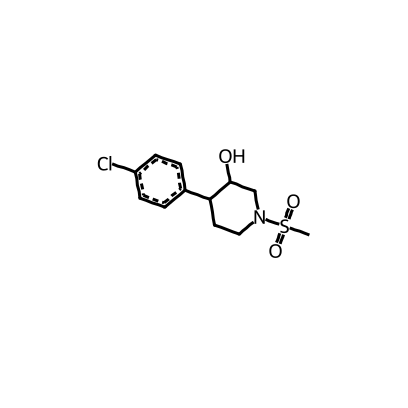 CS(=O)(=O)N1CCC(c2ccc(Cl)cc2)C(O)C1